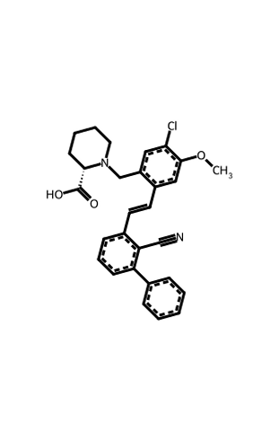 COc1cc(/C=C/c2cccc(-c3ccccc3)c2C#N)c(CN2CCCC[C@H]2C(=O)O)cc1Cl